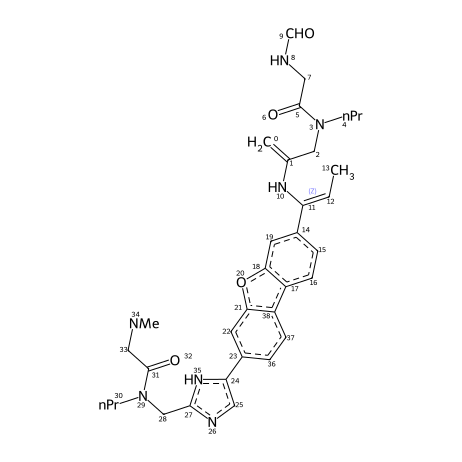 C=C(CN(CCC)C(=O)CNC=O)N/C(=C\C)c1ccc2c(c1)oc1cc(-c3cnc(CN(CCC)C(=O)CNC)[nH]3)ccc12